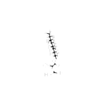 CC(C)=C=C(C(=O)OCC(F)(F)C(F)(F)C(F)(F)C(F)(F)C(F)(F)C(F)(F)C(F)(F)C(F)F)C(C)(C)C